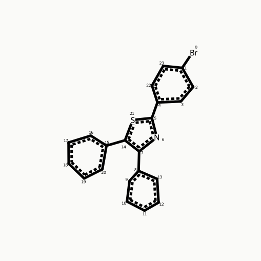 Brc1ccc(-c2nc(-c3ccccc3)c(-c3ccccc3)s2)cc1